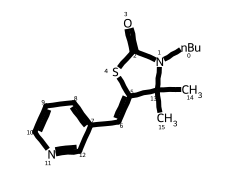 CCCCN1C(=O)S/C(=C\c2cccnc2)C1(C)C